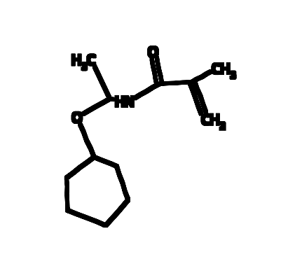 C=C(C)C(=O)NC(C)OC1CCCCC1